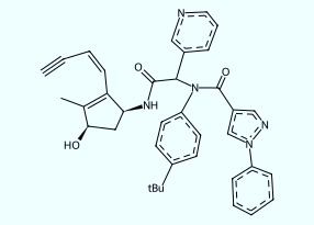 C#C/C=C\C1=C(C)[C@H](O)C[C@@H]1NC(=O)C(c1cccnc1)N(C(=O)c1cnn(-c2ccccc2)c1)c1ccc(C(C)(C)C)cc1